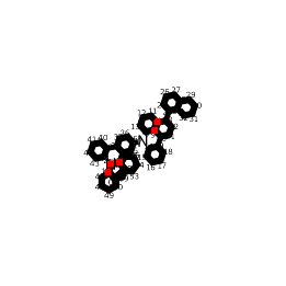 c1ccc(-c2cc(N(c3ccccc3)c3ccccc3-c3ccc(-c4cccc5ccccc45)cc3)ccc2-c2ccccc2-n2c3ccccc3c3ccccc32)cc1